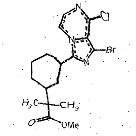 COC(=O)C(C)(C)C1CCCC(c2nc(Br)c3c(Cl)nccn23)C1